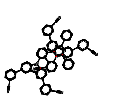 N#Cc1cccc(-c2ccc3c(c2)c2cc(-c4cccc(C#N)c4)ccc2n3-c2cccc(C#N)c2-c2c(-c3nc(-c4ccccc4)nc(-c4ccccc4)n3)cccc2-n2c3ccc(-c4cccc(C#N)c4)cc3c3cc(-c4cccc(C#N)c4)ccc32)c1